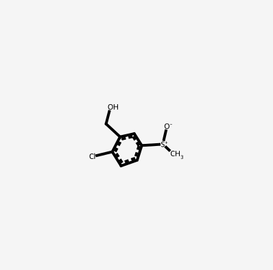 C[S+]([O-])c1ccc(Cl)c(CO)c1